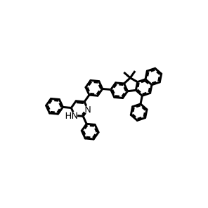 CC1(C)c2cc(-c3cccc(C4=CC(c5ccccc5)NC(c5ccccc5)=N4)c3)ccc2-c2c(-c3ccccc3)cc3ccccc3c21